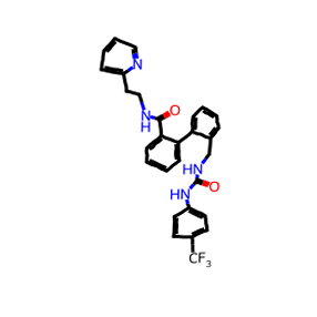 O=C(NCc1ccccc1-c1ccccc1C(=O)NCCc1ccccn1)Nc1ccc(C(F)(F)F)cc1